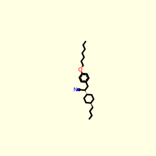 CCCCCCCOc1ccc(CC(C#N)[C@H]2CC[C@H](CCCC)CC2)cc1